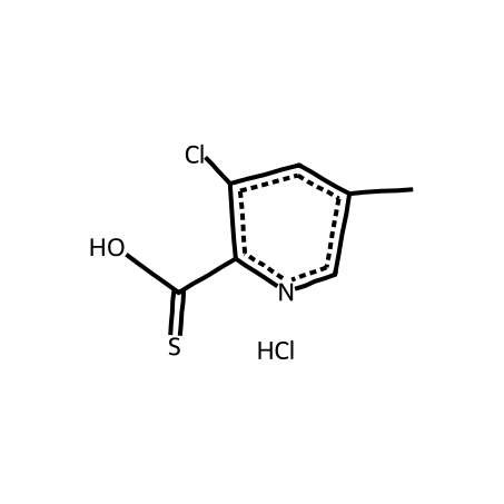 Cc1cnc(C(O)=S)c(Cl)c1.Cl